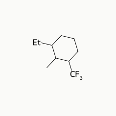 CCC1CCCC(C(F)(F)F)C1C